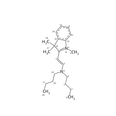 CCCCN(/C=C/C1=[N+](C)c2ccccc2C1(C)C)CCCC